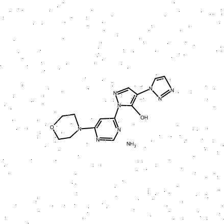 N.Oc1c(-n2ccnn2)cnn1-c1cc(N2CCOCC2)ncn1